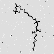 COCCOCCNC(=O)CCC(C)(C)SSCCCCOP(OC(C)C)OC(C)(C)C